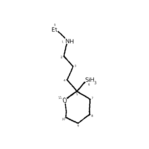 CCNCCCC1([SiH3])CCCCO1